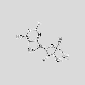 C#CC1(CO)OC(n2cnc3c(O)nc(F)nc32)C(F)C1O